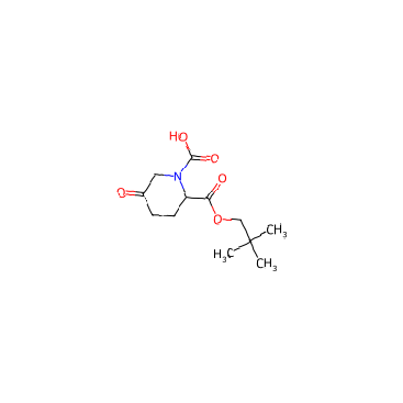 CC(C)(C)COC(=O)C1CCC(=O)CN1C(=O)O